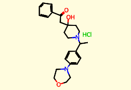 CC(c1ccc(N2CCOCC2)cc1)N1CCC(O)(CC(=O)c2ccccc2)CC1.Cl